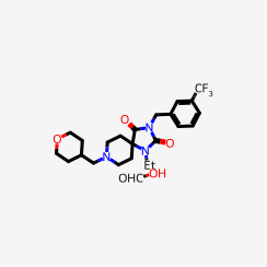 CCN1C(=O)N(Cc2cccc(C(F)(F)F)c2)C(=O)C12CCN(CC1CCOCC1)CC2.O=CO